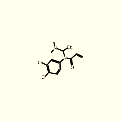 C=CC(=O)N(c1ccc(Cl)c(Cl)c1)C(CC)N(C)C